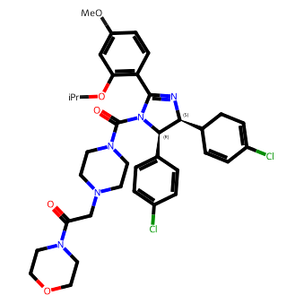 COc1ccc(C2=N[C@@H](C3C=CC(Cl)=CC3)[C@@H](c3ccc(Cl)cc3)N2C(=O)N2CCN(CC(=O)N3CCOCC3)CC2)c(OC(C)C)c1